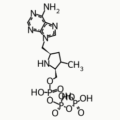 CC1C[C@H](Cn2cnc3c(N)ncnc32)N[C@@H]1COP(=O)(O)OP(=O)(O)OP(=O)(O)O